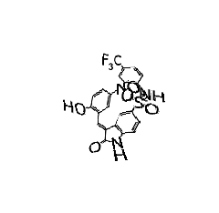 O=C1Nc2ccc(S(=O)(=O)Nc3ccc(C(F)(F)F)cc3)cc2C1=Cc1cc([N+](=O)[O-])ccc1O